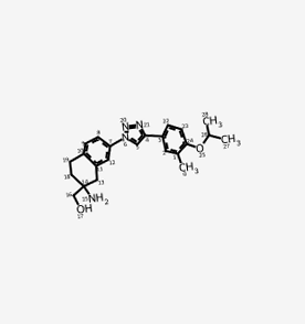 Cc1cc(-c2cn(-c3ccc4c(c3)CC(N)(CO)CC4)nn2)ccc1OC(C)C